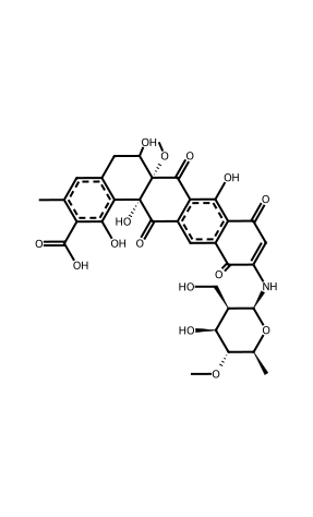 CO[C@@H]1[C@@H](O)[C@@H](CO)[C@@H](NC2=CC(=O)c3c(cc4c(c3O)C(=O)[C@]3(OC)C(O)Cc5cc(C)c(C(=O)O)c(O)c5[C@]3(O)C4=O)C2=O)O[C@H]1C